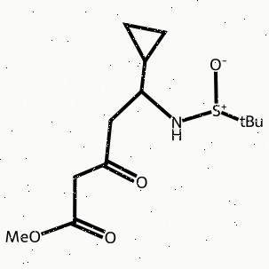 COC(=O)CC(=O)CC(N[S+]([O-])C(C)(C)C)C1CC1